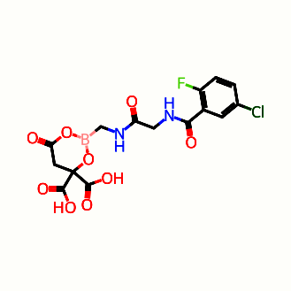 O=C(CNC(=O)c1cc(Cl)ccc1F)NCB1OC(=O)CC(C(=O)O)(C(=O)O)O1